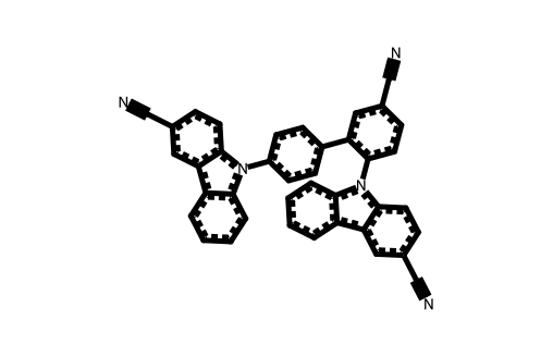 N#Cc1ccc(-n2c3ccccc3c3cc(C#N)ccc32)c(-c2ccc(-n3c4ccccc4c4cc(C#N)ccc43)cc2)c1